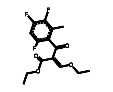 CCO/C=C(/C(=O)OCC)C(=O)c1c(F)cc(F)c(F)c1C